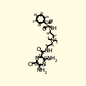 C[N+](C)(CCNC(=O)c1nc(Cl)c(N)nc1N)CCNS(=O)(=O)c1ccccc1